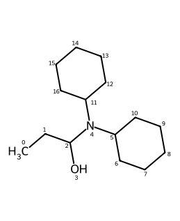 CCC(O)N(C1CCCCC1)C1CCCCC1